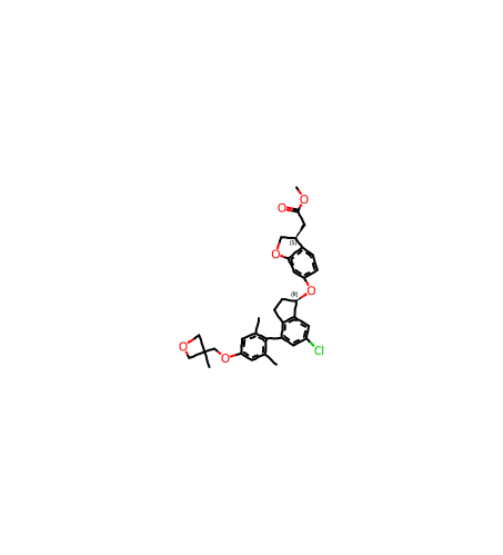 COC(=O)C[C@@H]1COc2cc(O[C@@H]3CCc4c(-c5c(C)cc(OCC6(C)COC6)cc5C)cc(Cl)cc43)ccc21